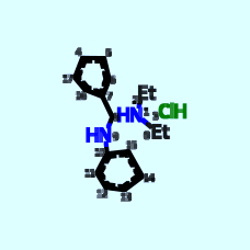 CCNCC.Cl.c1ccc(CNc2ccccc2)cc1